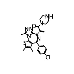 C=C(C(=O)N1CCNCC1)[C@@H]1N=C(c2ccc(Cl)cc2)c2c(sc(C)c2C)-n2c(C)nnc21